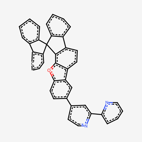 c1ccc(-c2cc(-c3ccc4oc5c6c(ccc5c4c3)-c3ccccc3C63c4ccccc4-c4ccccc43)ccn2)nc1